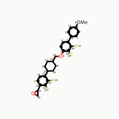 COc1ccc(-c2ccc(OCC3CCC(c4ccc(C5CO5)c(F)c4F)CC3)c(F)c2F)cc1